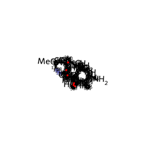 COc1cc2cc(c1Cl)N(C)C(=O)C[C@H](OC(=O)[C@H](C)N(C)C(=O)CCSSC(C)(C)[C@@H](NC(=O)[C@@H]1CSSC[C@H](NC(=O)[C@@H](Cc3ccccc3)NC(=O)NCc3ccccc3)C(=O)N[C@@H](Cc3ccc(O)cc3)C(=O)N[C@H](Cc3c[nH]c4ccccc34)C(=O)N[C@@H](CCCCN)C(=O)N[C@@H]([C@@H](C)O)C(=O)N1)C(N)=O)[C@]1(C)O[C@H]1[C@H](C)[C@@H]1C[C@@](O)(NC(=O)O1)[C@H](OC)/C=C/C=C(\C)C2